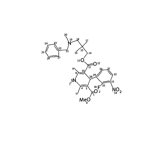 COC(=O)C1=C(C)N(C)C(C)=C(C(=O)OCC(C)(C)CN(C)Cc2ccccc2)C1c1cccc([N+](=O)[O-])c1F